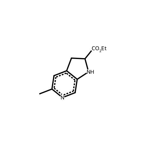 CCOC(=O)C1Cc2cc(C)ncc2N1